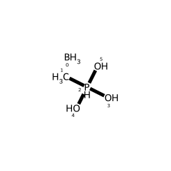 B.C[PH](O)(O)O